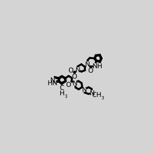 Cc1cc(CC(OC(=O)N2CCC(N3CCc4ccccc4NC3=O)CC2)C(=O)N2CCC(N3CCN(C)CC3)CC2)cc2cn[nH]c12